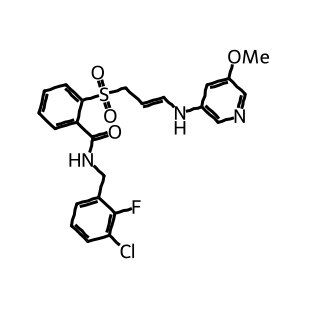 COc1cncc(NC=CCS(=O)(=O)c2ccccc2C(=O)NCc2cccc(Cl)c2F)c1